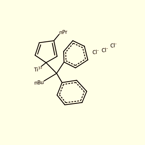 CCCCC(c1ccccc1)(c1ccccc1)[C]1([Ti+3])C=CC(CCC)=C1.[Cl-].[Cl-].[Cl-]